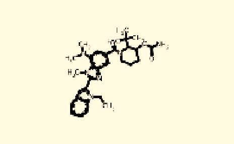 CCn1c(-c2nc3cc(C(=O)N4CCCC(OC(N)=O)C4C(C)(C)C)cc(N(C)C)c3n2C)cc2ccccc21